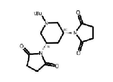 CC(C)(C)N1C[C@H](N2C(=O)CCC2=O)C[C@H](N2C(=O)CCC2=O)C1